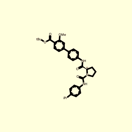 COc1cc(-c2ccc(NC(=O)[C@H]3CCCN3C(=O)Nc3ccc(C(C)C)cc3)cc2)ccc1C(=O)OC(C)(C)C